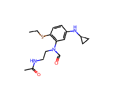 CCSc1ccc(NC2CC2)cc1N(C=O)CCNC(C)=O